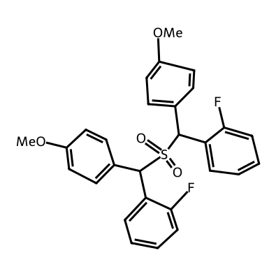 COc1ccc(C(c2ccccc2F)S(=O)(=O)C(c2ccc(OC)cc2)c2ccccc2F)cc1